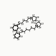 c1ccc(SCCCCCN2CCCC2)cc1.c1ccc(SCCCCN2CCCC2)cc1